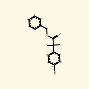 CC(C)(C(=O)OCc1ccccc1)c1ccc(Br)cc1